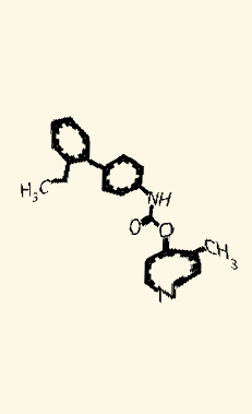 CCc1ccccc1-c1ccc(NC(=O)Oc2ccncc2C)cc1